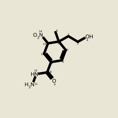 CC1(CCO)C=CC(C(=O)NN)=CC1[N+](=O)[O-]